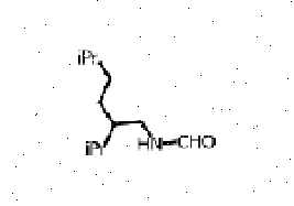 CC(C)CCC(CNC=O)C(C)C